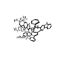 CCCCc1ccc2c(c1)C1(C)c3ccccc3-c3cc4c5c(c31)N2c1c(sc2cc3c(cc12)C(C)(C)CCC3(C)C)B5N(c1ccccc1)c1cc2sc3ccccc3c2cc1-4